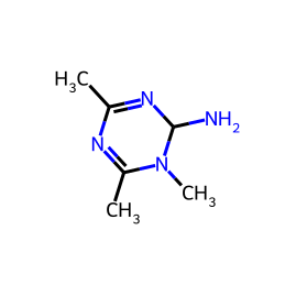 CC1=NC(N)N(C)C(C)=N1